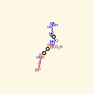 CCOCCOCCCNS(=O)(=O)c1ccc(-c2ccc(S(=O)(=O)NC(CNC(=O)c3ccc4c(cnn4CCCNc4ncc[nH]4)c3)C(=O)O)cc2)cc1